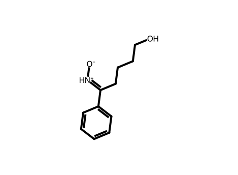 [O-][NH+]=C(CCCCO)c1ccccc1